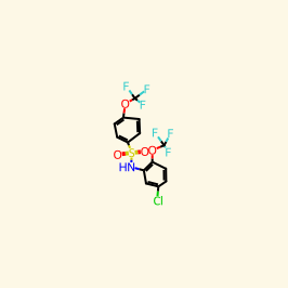 O=S(=O)(Nc1cc(Cl)ccc1OC(F)(F)F)c1ccc(OC(F)(F)F)cc1